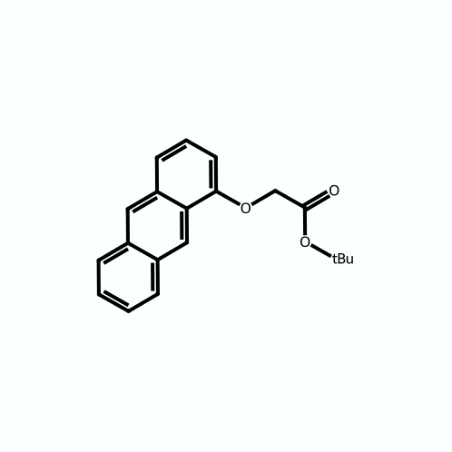 CC(C)(C)OC(=O)COc1cccc2cc3ccccc3cc12